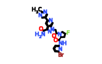 Cc1ncc(-c2cc3c(C(N)=O)nn(CC(=O)N4C[C@H](F)C[C@H]4C(=O)Nc4cccc(Br)n4)c3cn2)cn1